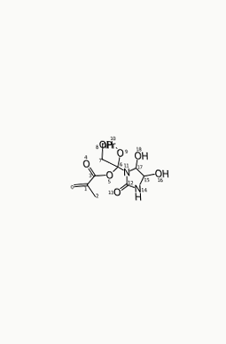 C=C(C)C(=O)OC(CO)(OCCC)N1C(=O)NC(O)C1O